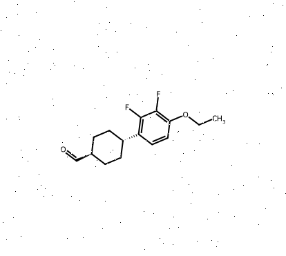 CCOc1ccc([C@H]2CC[C@H](C=O)CC2)c(F)c1F